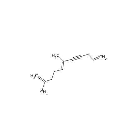 C=CCC#CC(C)=CCCC(=C)C